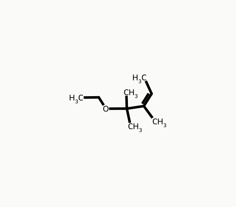 CC=C(C)C(C)(C)OCC